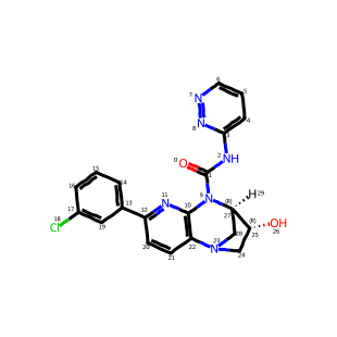 O=C(Nc1cccnn1)N1c2nc(-c3cccc(Cl)c3)ccc2N2C[C@@H](O)[C@H]1C2